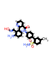 Cc1ccc(S(N)(=O)=O)c(-c2ccc(NC(=O)c3cccnc3-c3cccc(N)c3C=NO)cc2)c1